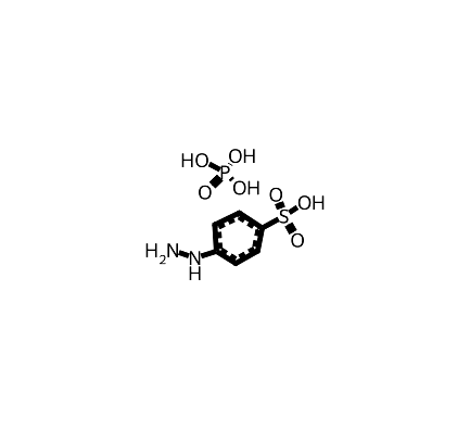 NNc1ccc(S(=O)(=O)O)cc1.O=P(O)(O)O